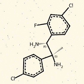 C[C@](N)(c1ccc(Cl)cc1)[C@H](N)c1ccc(Cl)cc1F